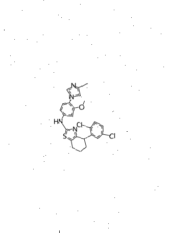 COc1cc(Nc2nc3c(s2)CCCC3c2cc(Cl)ccc2Cl)ccc1-n1cnc(C)c1